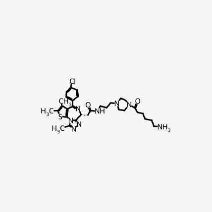 Cc1sc2c(c1C)C(c1ccc(Cl)cc1)=N[C@H](CC(=O)NCCCN1CCN(C(=O)CCCCCN)CC1)c1nnc(C)n1-2